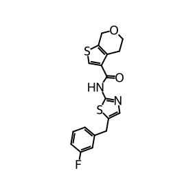 O=C(Nc1ncc(Cc2cccc(F)c2)s1)c1csc2c1CCOC2